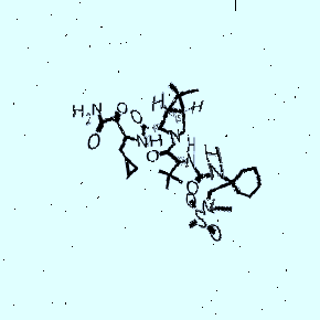 CN(CC1(NC(=O)N[C@H](C(=O)N2C[C@H]3[C@@H]([C@H]2C(=O)NC(CC2CC2)C(=O)C(N)=O)C3(C)C)C(C)(C)C)CCCCC1)S(C)(=O)=O